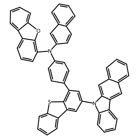 c1ccc2cc(N(c3ccc(-c4cc(-n5c6ccccc6c6cc7ccccc7cc65)cc5c4sc4ccccc45)cc3)c3cccc4c3oc3ccccc34)ccc2c1